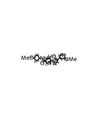 COc1cc(-c2cnn(-c3ccc(C(=O)N[C@H]4CC[C@@H](OC)CC4)cn3)c2O)ccn1